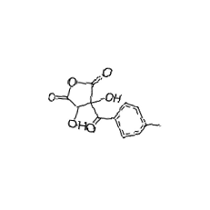 Cc1ccc(C(=O)C2(O)C(=O)OC(=O)C2O)cc1